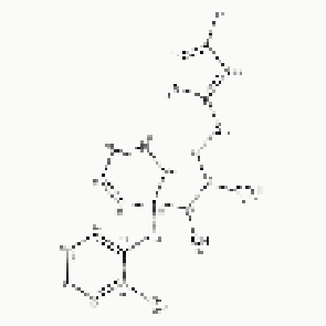 Cc1csc(SCC(C(=O)O)C(O)C2(Cc3ccccc3C(F)(F)F)C=CC=NC2)n1